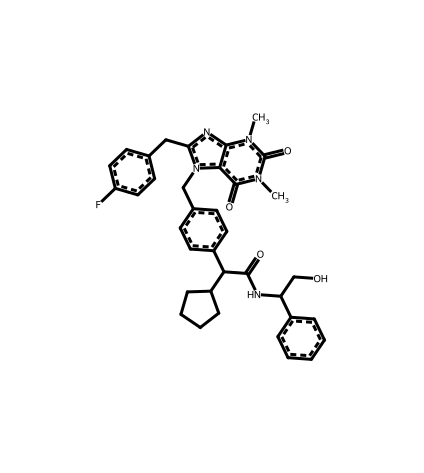 Cn1c(=O)c2c(nc(Cc3ccc(F)cc3)n2Cc2ccc(C(C(=O)NC(CO)c3ccccc3)C3CCCC3)cc2)n(C)c1=O